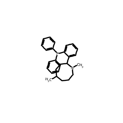 CC1CCCN(C)C(c2ccccc2P(c2ccccc2)c2ccccc2)CC1